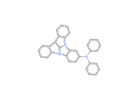 c1ccc(N(c2ccccc2)c2ccc3c(c2)n2c4ccccc4c4c5ccccc5n3c42)cc1